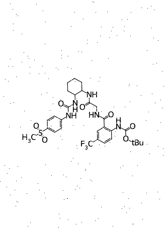 CC(C)(C)OC(=O)Nc1ccc(C(F)(F)F)cc1C(=O)NCC(=O)NC1CCCCC1NC(=O)Nc1ccc(S(C)(=O)=O)cc1